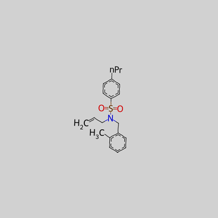 C=CCN(Cc1ccccc1C)S(=O)(=O)c1ccc(CCC)cc1